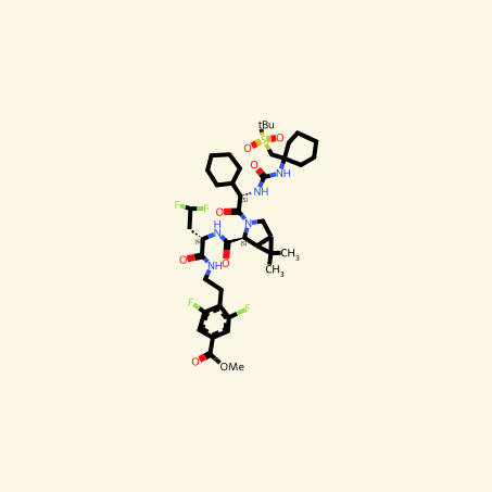 COC(=O)c1cc(F)c(CCNC(=O)[C@H](CC(F)F)NC(=O)[C@@H]2C3C(CN2C(=O)[C@@H](NC(=O)NC2(CS(=O)(=O)C(C)(C)C)CCCCC2)C2CCCCC2)C3(C)C)c(F)c1